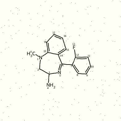 CN1CC(N)N=C(c2ccccc2F)c2ccccc21